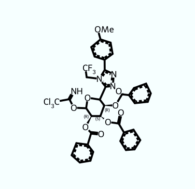 COc1ccc(-c2nnc(C3OC(OC(=N)C(Cl)(Cl)Cl)[C@H](OC(=O)c4ccccc4)[C@@H](OC(=O)c4ccccc4)[C@@H]3OC(=O)c3ccccc3)n2CC(F)(F)F)cc1